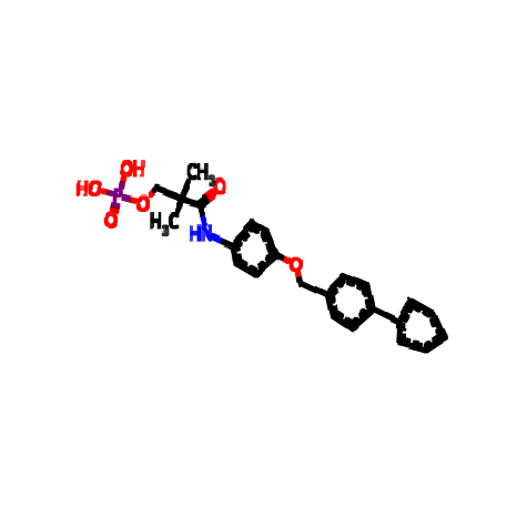 CC(C)(COP(=O)(O)O)C(=O)Nc1ccc(OCc2ccc(-c3ccccc3)cc2)cc1